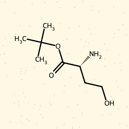 CC(C)(C)OC(=O)[C@H](N)CCO